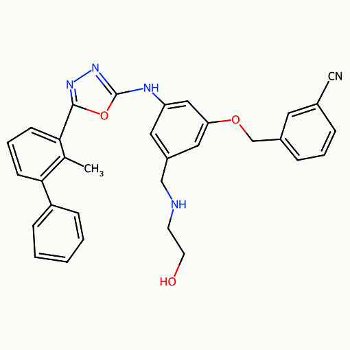 Cc1c(-c2ccccc2)cccc1-c1nnc(Nc2cc(CNCCO)cc(OCc3cccc(C#N)c3)c2)o1